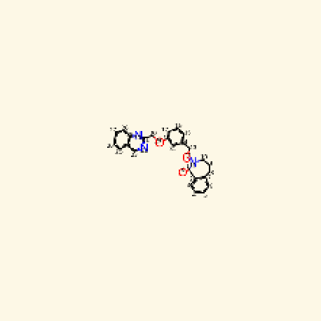 O=C1c2ccccc2CCCN1OCc1cccc(OCc2ncc3ccccc3n2)c1